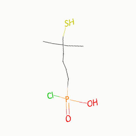 CC(C)(S)CCP(=O)(O)Cl